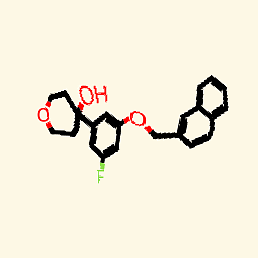 OC1(c2cc(F)cc(OCc3ccc4ccccc4c3)c2)CCOCC1